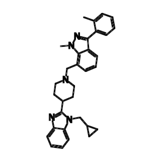 Cc1ccccc1-c1nn(C)c2c(CN3CCC(c4nc5ccccc5n4CC4CC4)CC3)cccc12